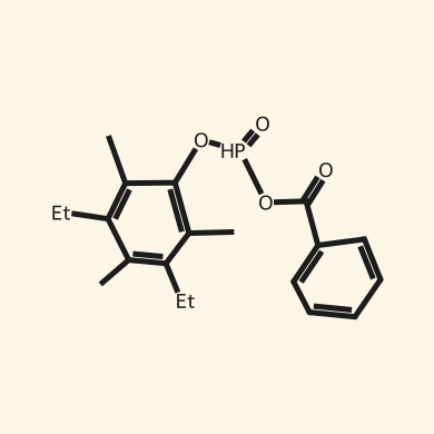 CCc1c(C)c(CC)c(C)c(O[PH](=O)OC(=O)c2ccccc2)c1C